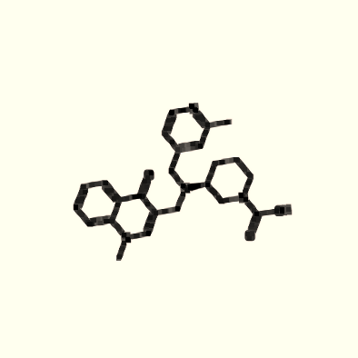 Cc1cc(CN(Cc2cn(C)c3ccccc3c2=O)[C@H]2CCCN(C(=O)O)C2)ccn1